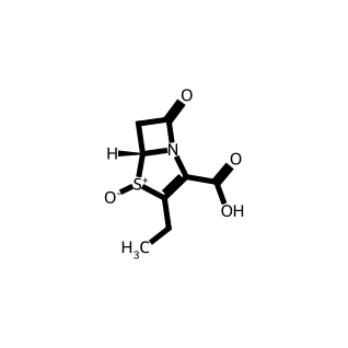 CCC1=C(C(=O)O)N2C(=O)C[C@H]2[S+]1[O-]